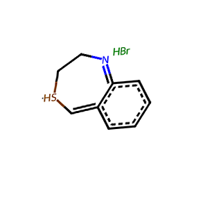 Br.C1=c2ccccc2=NCC[SH]1